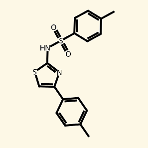 Cc1ccc(-c2csc(NS(=O)(=O)c3ccc(C)cc3)n2)cc1